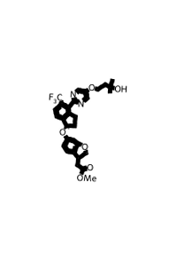 COC(=O)CC1COc2cc(O[C@@H]3CCc4c3ccc(C(F)(F)F)c4-c3ncc(OCCC(C)(C)O)cn3)ccc21